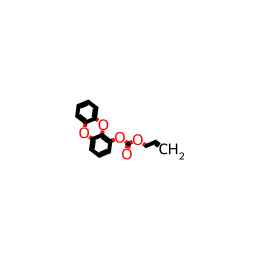 C=CCOC(=O)Oc1cccc2c1Oc1ccccc1O2